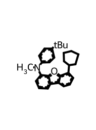 CN(c1ccc(C(C)(C)C)cc1)c1cccc2c1oc1c(C3CCCCC3)cccc12